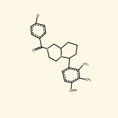 COc1ccc(C2CCCC3CN(C(=O)c4ccc(Cl)cc4)CCN32)c(C)c1C